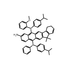 COc1ccccc1N(c1ccc(C(C)C)cc1)c1c2cc(N)ccc2c(N(c2ccccc2)c2ccc(C(C)C)cc2)c2cc3c(cc12)C1=C(C=CCC1)C3(C)C